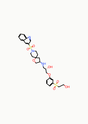 O=S(=O)(CCO)c1cccc(OC[C@@H](O)CN[C@H]2COC3(CCN(S(=O)(=O)c4cnc5ccccc5c4)CC3)C2)c1